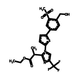 CCOC(=O)C(C)c1nc(C(F)(F)F)cn1-c1ccc(-c2ccc(CO)c(S(C)(=O)=O)c2)s1